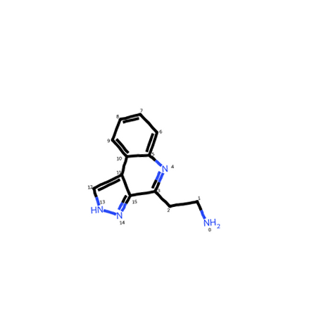 NCCc1nc2ccccc2c2c[nH]nc12